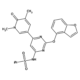 Cc1cc(-c2cc(NS(=O)(=O)C(C)C)nc(Oc3cccc4occc34)n2)cn(C)c1=O